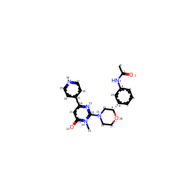 CC(=O)Nc1cccc([C@H]2CN(c3nc(-c4ccncc4)cc(=O)n3C)CCO2)c1